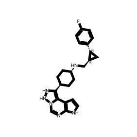 Fc1ccc([C@@H]2C[C@H]2CN[C@H]2CC[C@H](C3=C4c5cc[nH]c5N=CN4NN3)CC2)cc1